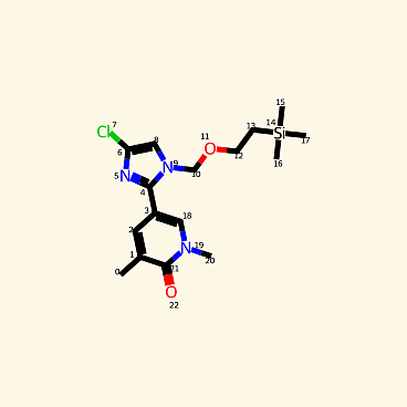 Cc1cc(-c2nc(Cl)cn2COCC[Si](C)(C)C)cn(C)c1=O